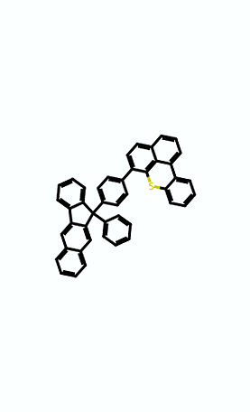 c1ccc(C2(c3ccc(-c4ccc5cccc6c5c4Sc4ccccc4-6)cc3)c3ccccc3-c3cc4ccccc4cc32)cc1